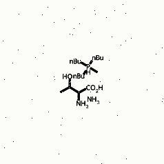 CC(O)C(N)C(=O)O.CCCC[PH](C)(CCCC)CCCC.N